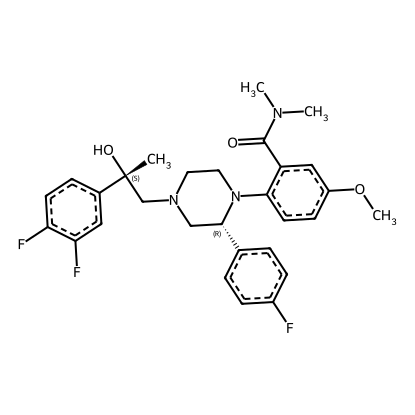 COc1ccc(N2CCN(C[C@@](C)(O)c3ccc(F)c(F)c3)C[C@H]2c2ccc(F)cc2)c(C(=O)N(C)C)c1